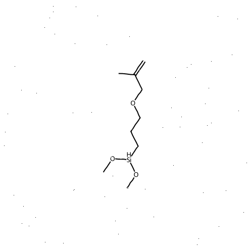 C=C(C)COCCC[SiH](OC)OC